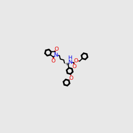 O=C(N[C@@H](CCCCN1C(=O)c2ccccc2C1=O)c1ccc(Oc2ccccc2)cc1)OCc1ccccc1